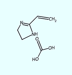 C=CC1=NCCN1.O=C(O)O